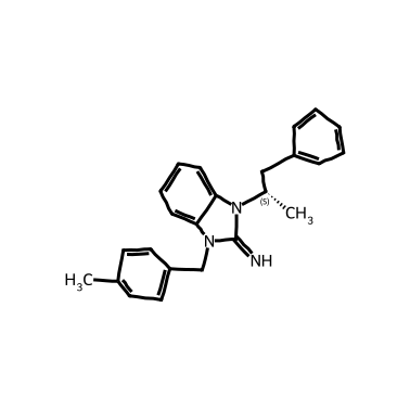 Cc1ccc(Cn2c(=N)n([C@@H](C)Cc3ccccc3)c3ccccc32)cc1